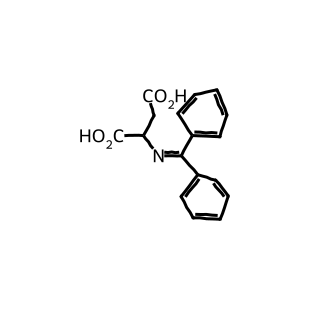 O=C(O)CC(N=C(c1ccccc1)c1ccccc1)C(=O)O